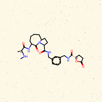 CN[C@@H](C)C(=O)NC1CCCCC2CCC(C(=O)NCc3cccc(CNC(=O)[C@@H]4CCC(=O)O4)c3)N2C1=O